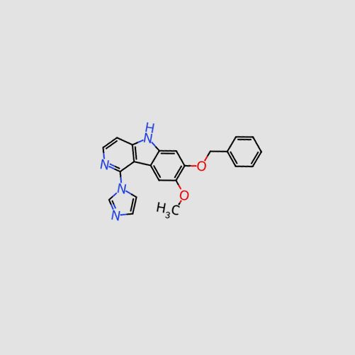 COc1cc2c(cc1OCc1ccccc1)[nH]c1ccnc(-n3ccnc3)c12